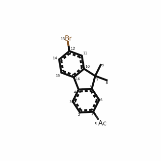 CC(=O)c1ccc2c(c1)C(C)(C)c1cc(Br)ccc1-2